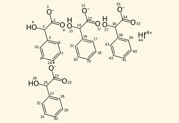 O=C([O-])C(O)c1ccccc1.O=C([O-])C(O)c1ccccc1.O=C([O-])C(O)c1ccccc1.O=C([O-])C(O)c1ccccc1.[Hf+4]